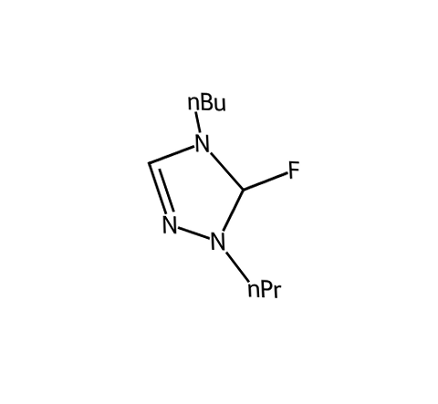 CCCCN1C=NN(CCC)C1F